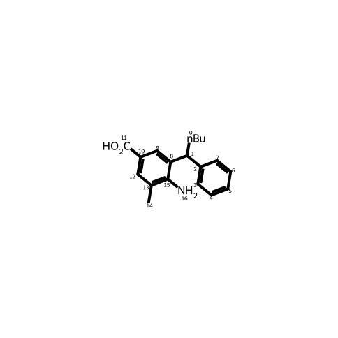 CCCCC(c1ccccc1)c1cc(C(=O)O)cc(C)c1N